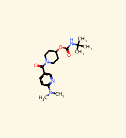 CN(C)c1ccc(C(=O)N2CCC(OC(=O)NC(C)(C)C)CC2)cn1